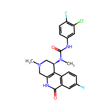 CN1Cc2[nH]c(=O)c3cc(F)ccc3c2[C@H](N(C)C(=O)Nc2ccc(F)c(Cl)c2)C1